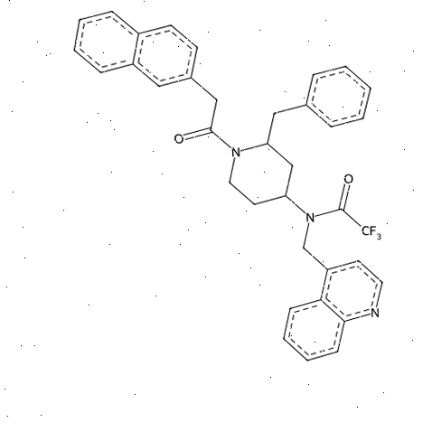 O=C(Cc1ccc2ccccc2c1)N1CCC(N(Cc2ccnc3ccccc23)C(=O)C(F)(F)F)CC1Cc1ccccc1